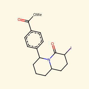 COC(=O)c1ccc(C2CCCC3CCC(I)C(=O)N32)cc1